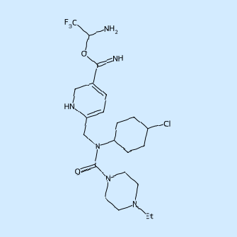 CCN1CCN(C(=O)N(CC2=CC=C(C(=N)OC(N)C(F)(F)F)CN2)C2CCC(Cl)CC2)CC1